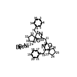 [Br-].[Br-].[Ni+2].c1ccc(C[C@H]2N=C(CC3=N[C@H](Cc4ccccc4)C4(CCCC4)O3)OC23CCCC3)cc1